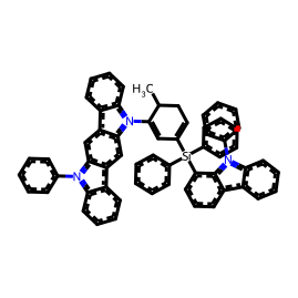 CC1CC=C([Si](c2ccccc2)(c2ccccc2)c2cccc3c4ccccc4n(-c4ccccc4)c23)C=C1n1c2ccccc2c2cc3c(cc21)c1ccccc1n3-c1ccccc1